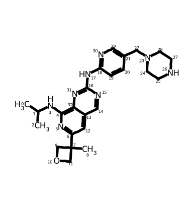 CC(C)Nc1nc(C2(C)COC2)cc2cnc(Nc3ccc(CN4CCNCC4)cn3)nc12